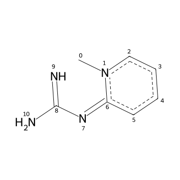 Cn1ccccc1=NC(=N)N